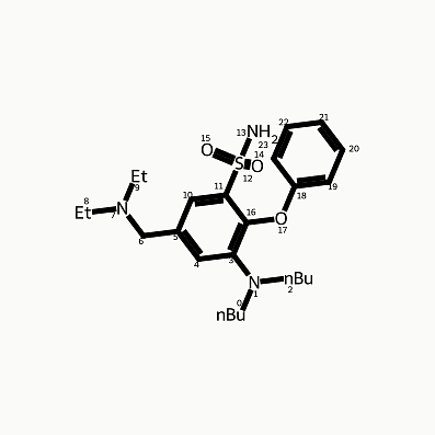 CCCCN(CCCC)c1cc(CN(CC)CC)cc(S(N)(=O)=O)c1Oc1ccccc1